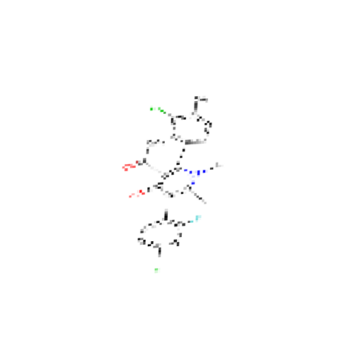 CCn1c(C)c(-c2ccc(Cl)cc2F)c(=O)c(C(=O)OC)c1-c1ccc([N+](=O)[O-])c(Cl)c1